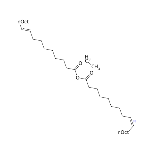 CC.CCCCCCCCC=CCCCCCCCC(=O)OC(=O)CCCCCCC/C=C\CCCCCCCC